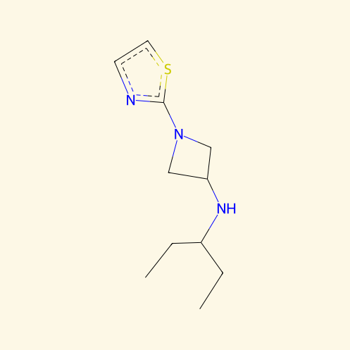 CCC(CC)NC1CN(c2nccs2)C1